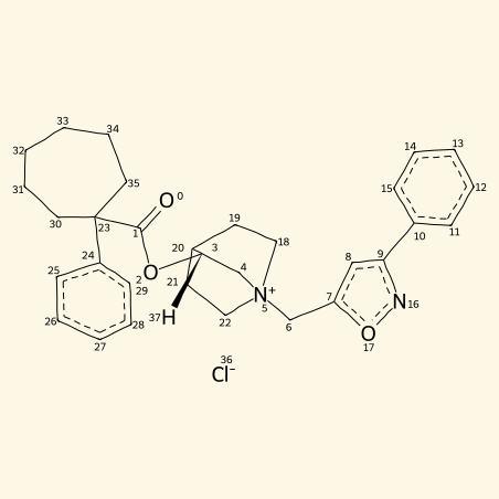 O=C(O[C@H]1C[N+]2(Cc3cc(-c4ccccc4)no3)CCC1CC2)C1(c2ccccc2)CCCCCC1.[Cl-]